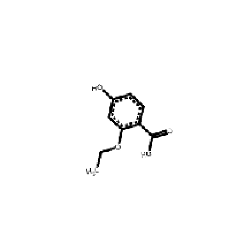 CCOc1cc(O)ccc1C(=O)O